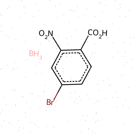 B.O=C(O)c1ccc(Br)cc1[N+](=O)[O-]